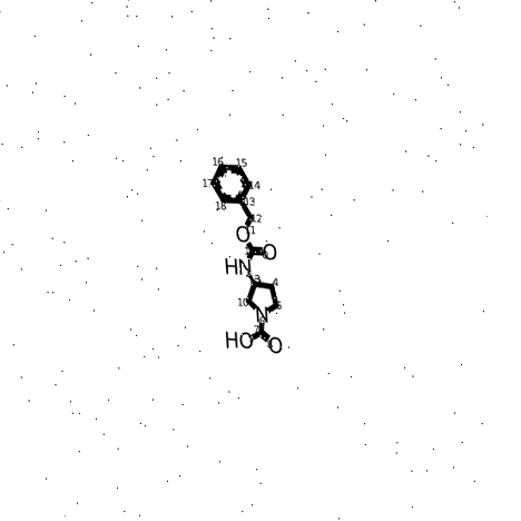 O=C(N[C@H]1CCN(C(=O)O)C1)OCc1ccccc1